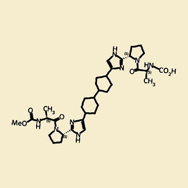 COC(=O)N[C@@H](C)C(=O)N1CCC[C@H]1c1nc(C2CCC(C3CCC(c4c[nH]c([C@@H]5CCCN5C(=O)[C@H](C)NC(=O)O)n4)CC3)CC2)c[nH]1